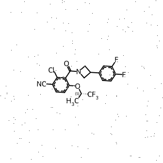 C[C@H](Oc1ccc(C#N)c(Cl)c1C(=O)N1CC(c2ccc(F)c(F)c2)C1)C(F)(F)F